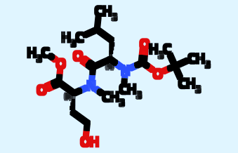 COC(=O)[C@@H](CCO)N(C)C(=O)[C@H](CC(C)C)N(C)C(=O)OC(C)(C)C